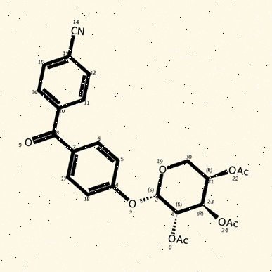 CC(=O)O[C@@H]1[C@H](Oc2ccc(C(=O)c3ccc(C#N)cc3)cc2)OC[C@@H](OC(C)=O)[C@H]1OC(C)=O